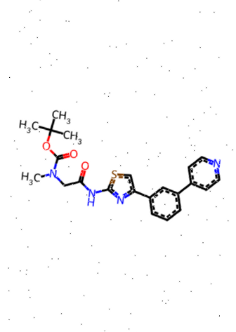 CN(CC(=O)Nc1nc(-c2cccc(-c3ccncc3)c2)cs1)C(=O)OC(C)(C)C